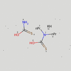 CCCN(CCC)C(O)=S.NC(O)=S.[KH]